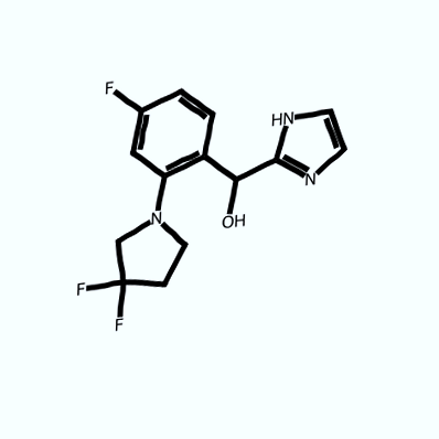 OC(c1ncc[nH]1)c1ccc(F)cc1N1CCC(F)(F)C1